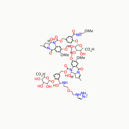 COCCNC(=O)c1cc(COC(=O)N2c3cc(OCCCCCOc4cc5c(cc4OC)C(=O)N4C=C(C)C[C@H]4C(O)N5C(=O)OCc4ccc(O[C@@H]5O[C@H](C(=O)O)[C@@H](O)[C@H](O)[C@H]5O)c(C(O)NCCOCCN/C=C\N(C)N)c4)c(OC)cc3C(=O)N3C=C(C)C[C@H]3C2O)ccc1O[C@@H]1O[C@H](C(=O)O)[C@@H](O)[C@H](O)[C@H]1O